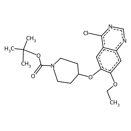 CCOc1cc2ncnc(Cl)c2cc1OC1CCN(C(=O)OC(C)(C)C)CC1